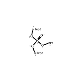 CCCCCCCOP(=O)(OCCC)OCCCCCCC